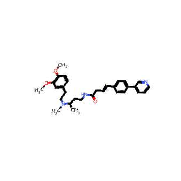 COc1ccc(CCN(C)C(C)CCNC(=O)C/C=C/c2ccc(-c3cccnc3)cc2)cc1OC